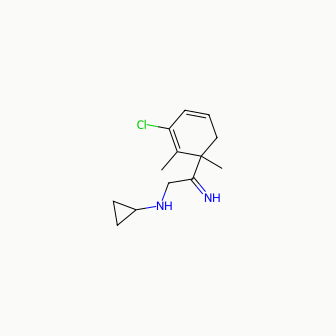 CC1=C(Cl)C=CCC1(C)C(=N)CNC1CC1